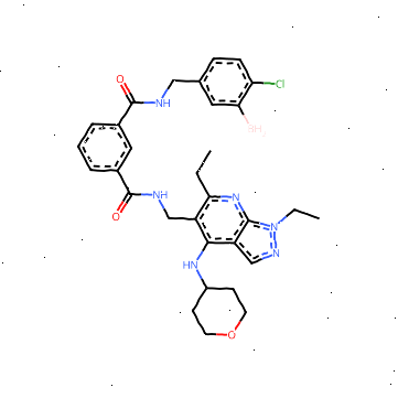 Bc1cc(CNC(=O)c2cccc(C(=O)NCc3c(CC)nc4c(cnn4CC)c3NC3CCOCC3)c2)ccc1Cl